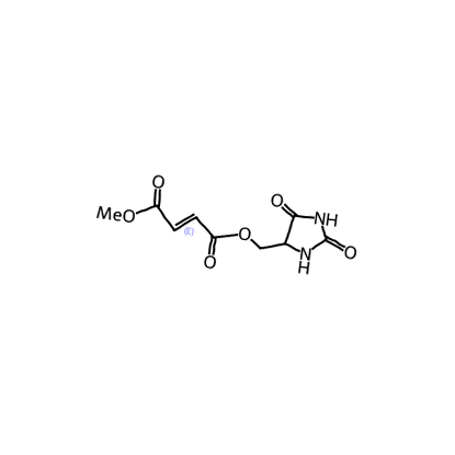 COC(=O)/C=C/C(=O)OCC1NC(=O)NC1=O